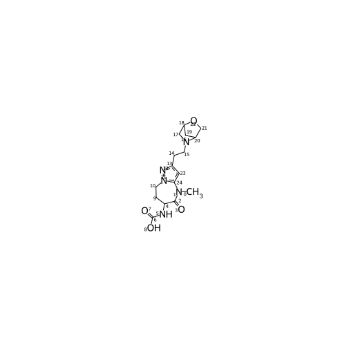 CN1C(=O)C(NC(=O)O)CCn2nc(CCN3CC4CC3CO4)cc21